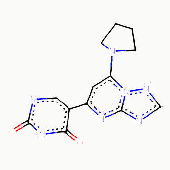 O=c1[nH]cc(-c2cc(N3CCCC3)n3ncnc3n2)c(=O)[nH]1